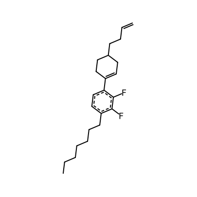 C=CCCC1CC=C(c2ccc(CCCCCCC)c(F)c2F)CC1